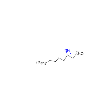 CCCCCCCCCC(N)C[C]=O